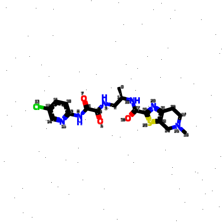 C[C@H](CNC(=O)C(=O)Nc1ccc(Cl)cn1)NC(=O)c1nc2c(s1)CN(C)CC2